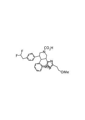 COCCc1noc(C2CN(C(=O)O)CC(c3ccc(CC(F)F)cc3)C2c2ccccc2[N+](=O)[O-])n1